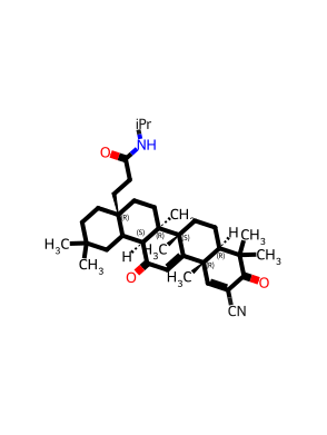 CC(C)NC(=O)CC[C@]12CCC(C)(C)CC1[C@@H]1C(=O)C=C3[C@@]4(C)C=C(C#N)C(=O)C(C)(C)[C@@H]4CC[C@@]3(C)[C@]1(C)CC2